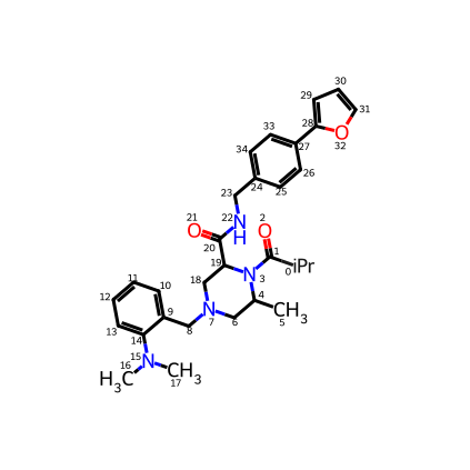 CC(C)C(=O)N1C(C)CN(Cc2ccccc2N(C)C)CC1C(=O)NCc1ccc(-c2ccco2)cc1